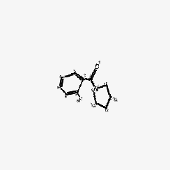 O=C(c1ccccc1F)N1CCCC1